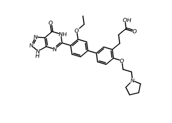 CCOc1cc(-c2ccc(OCCN3CCCC3)c(CCC(=O)O)c2)ccc1-c1nc2[nH]nnc2c(=O)[nH]1